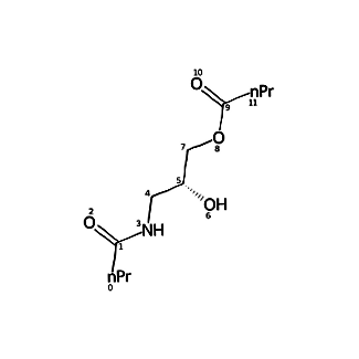 CCCC(=O)NC[C@@H](O)COC(=O)CCC